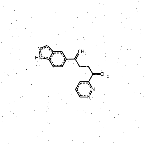 C=C(CCC(=C)c1cccnn1)c1ccc2[nH]ncc2c1